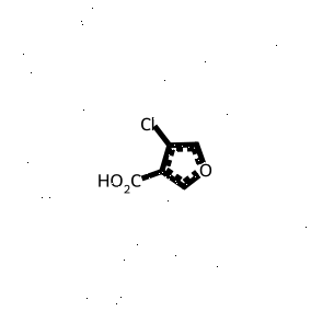 O=C(O)c1cocc1Cl